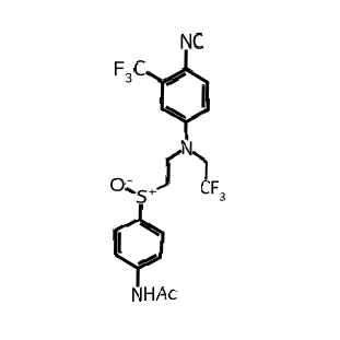 [C-]#[N+]c1ccc(N(CC[S+]([O-])c2ccc(NC(C)=O)cc2)CC(F)(F)F)cc1C(F)(F)F